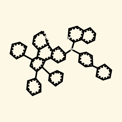 c1ccc(-c2ccc(N(c3ccc4c(c3)c3ccccc3c3c(-c5ccccc5)cc(-c5ccccc5)c(-c5ccccc5)c43)c3nccc4ccccc34)cc2)cc1